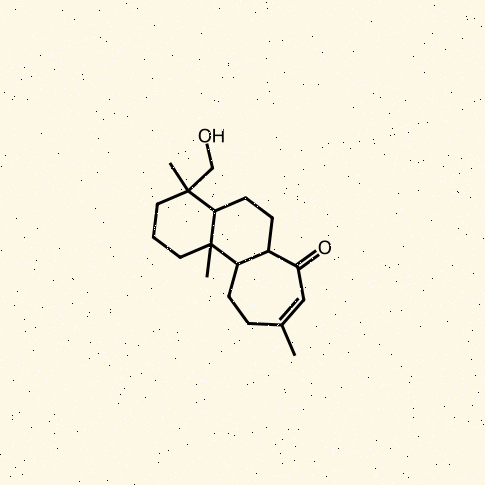 CC1=CC(=O)C2CCC3C(C)(CO)CCCC3(C)C2CC1